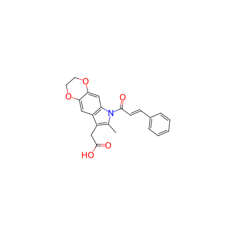 Cc1c(CC(=O)O)c2cc3c(cc2n1C(=O)C=Cc1ccccc1)OCCO3